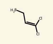 BCC=C(Cl)Cl